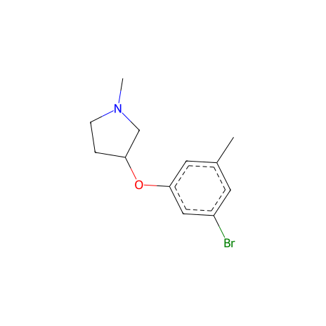 Cc1cc(Br)cc(OC2CCN(C)C2)c1